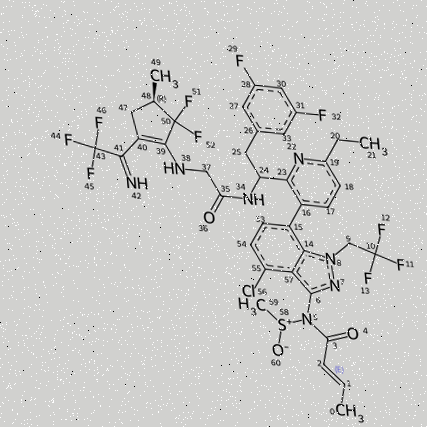 C/C=C/C(=O)N(c1nn(CC(F)(F)F)c2c(-c3ccc(CC)nc3C(Cc3cc(F)cc(F)c3)NC(=O)CNC3=C(C(=N)C(F)(F)F)C[C@@H](C)C3(F)F)ccc(Cl)c12)[S+](C)[O-]